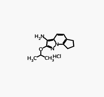 CC(C)Oc1nn2c3c(ccc2c1N)CCC3.Cl